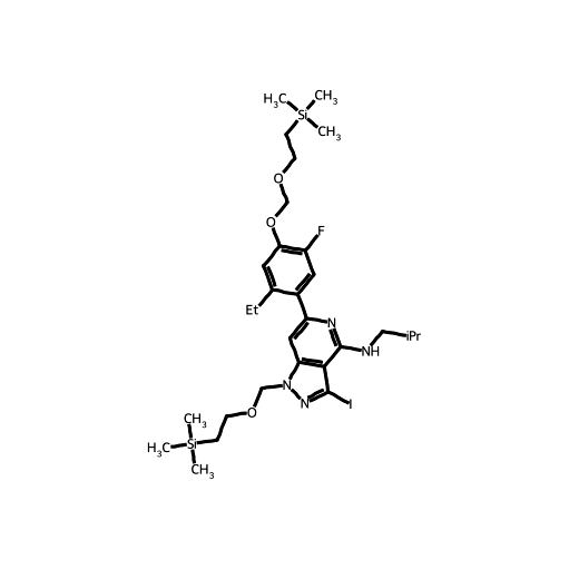 CCc1cc(OCOCC[Si](C)(C)C)c(F)cc1-c1cc2c(c(I)nn2COCC[Si](C)(C)C)c(NCC(C)C)n1